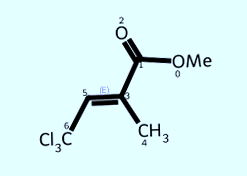 COC(=O)/C(C)=C/C(Cl)(Cl)Cl